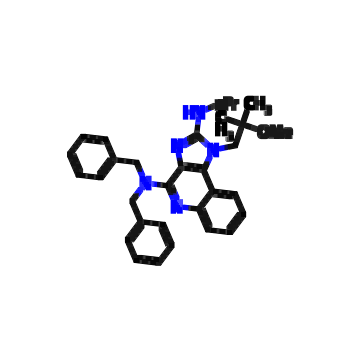 CCCNc1nc2c(N(Cc3ccccc3)Cc3ccccc3)nc3ccccc3c2n1CC(C)(C)OC